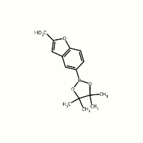 CC1(C)OB(c2ccc3oc(C(=O)O)cc3c2)OC1(C)C